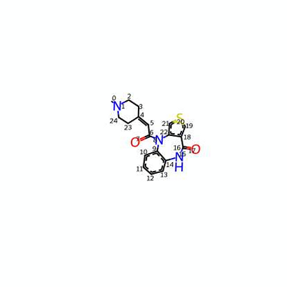 CN1CCC(=CC(=O)N2c3ccccc3NC(=O)c3cscc32)CC1